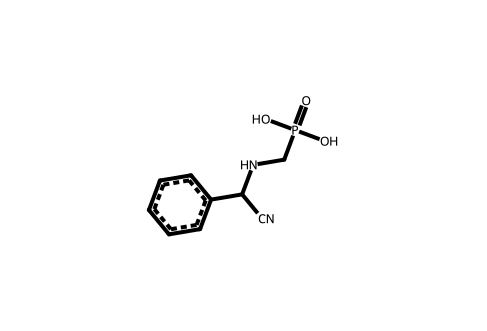 N#CC(NCP(=O)(O)O)c1ccccc1